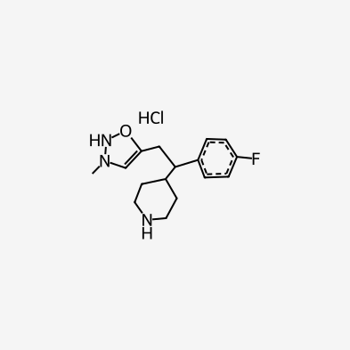 CN1C=C(CC(c2ccc(F)cc2)C2CCNCC2)ON1.Cl